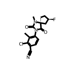 Cc1c(N2C(=O)N(C)[C@]3(CC[C@@H](F)C3)C2=O)ccc(C#N)c1Cl